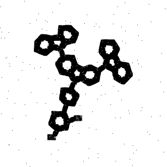 N#Cc1cnc(-c2ccc(-n3c4ccc(-n5c6ccccc6c6ccccc65)cc4c4cc(-n5c6ccccc6c6ccccc65)ccc43)cc2)c(C#N)c1